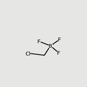 F[B-](F)(F)CCl